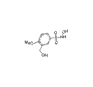 COc1ccc(S(=O)(=O)NO)cc1CO